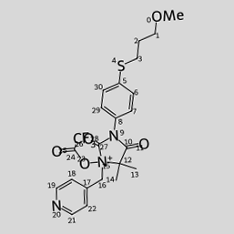 COCCCSc1ccc(N2C(=O)C(C)(C)[N+](Cc3ccncc3)(OC(=O)C(F)(F)F)C2=O)cc1